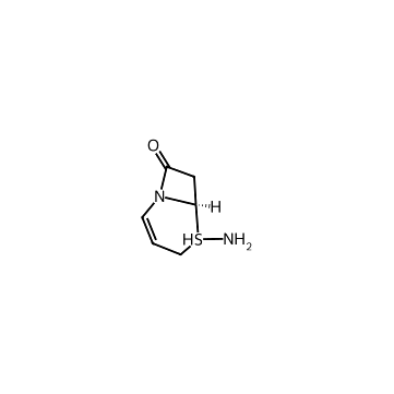 N[SH]1CC=CN2C(=O)C[C@H]21